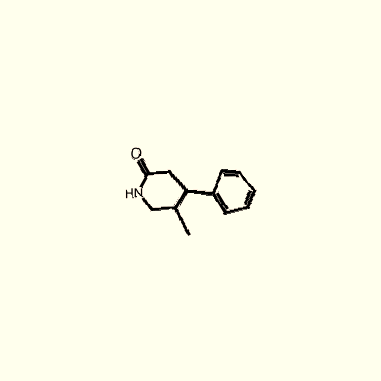 CC1CNC(=O)CC1c1ccccc1